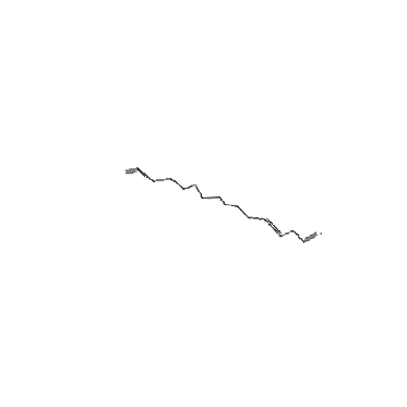 [CH]=CCC=CCCCCCCCCCC=C